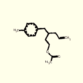 C=CCC(CCOC(C)=O)Cc1ccc(C)cc1